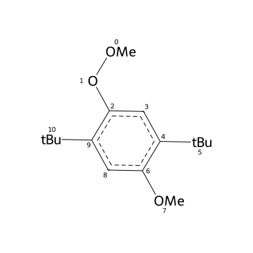 COOc1cc(C(C)(C)C)c(OC)cc1C(C)(C)C